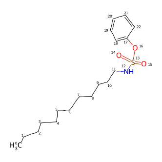 CCCCCCCCCCCCNS(=O)(=O)Oc1ccccc1